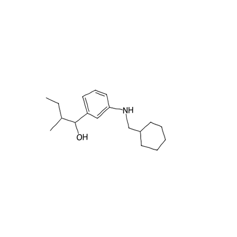 CCC(C)C(O)c1cccc(NCC2CCCCC2)c1